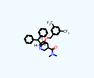 CN(C)C(=O)C1CN2CCC1[C@H](OCc1cc(C(F)(F)F)cc(C(F)(F)F)c1)[C@@H]2C(c1ccccc1)c1ccccc1